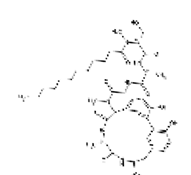 CCCCCCCCCCCC(=O)N(C)[C@H](CO)C(=O)N[C@H](C)C(=O)NCC(=O)N(C)C1C(=O)N[C@@H](C)C(=O)NC(C(=O)O)Cc2ccc(O)c(c2)-c2cc1ccc2O